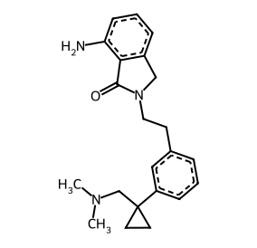 CN(C)CC1(c2cccc(CCN3Cc4cccc(N)c4C3=O)c2)CC1